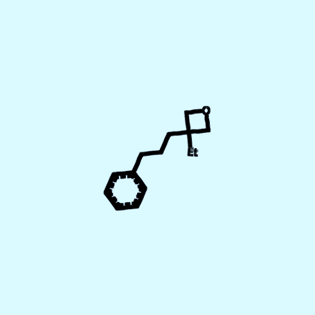 CCC1(CCCc2ccccc2)COC1